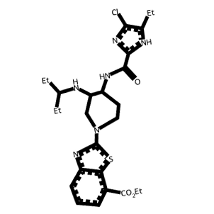 CCOC(=O)c1cccc2nc(N3CCC(NC(=O)c4nc(Cl)c(CC)[nH]4)C(NC(CC)CC)C3)sc12